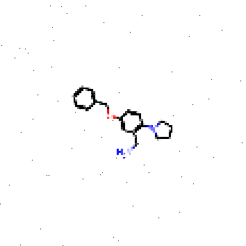 NCc1cc(OCc2ccccc2)ccc1N1CCCC1